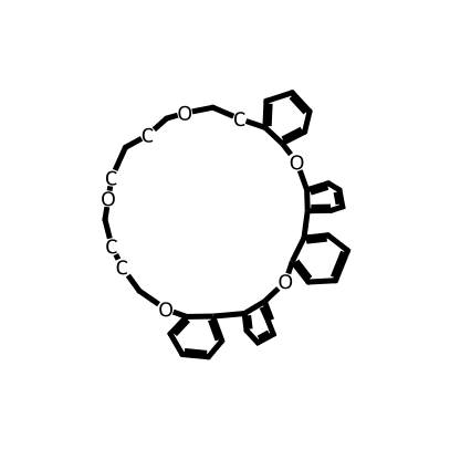 c1ccc2c(c1)CCOCCCCOCCCCOc1ccccc1-c1ccccc1Oc1ccccc1-c1ccccc1O2